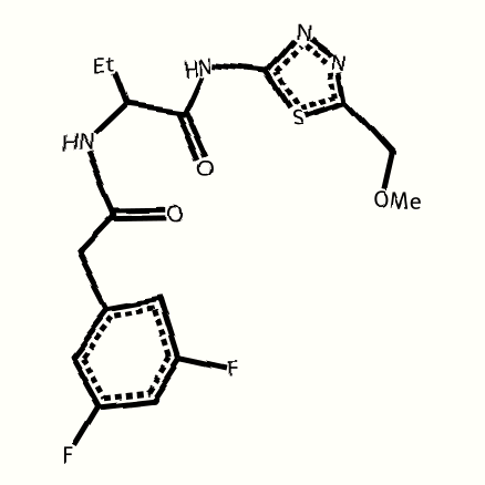 CCC(NC(=O)Cc1cc(F)cc(F)c1)C(=O)Nc1nnc(COC)s1